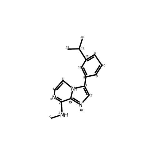 CNc1nccn2c(-c3cccc(C(C)C)c3)cnc12